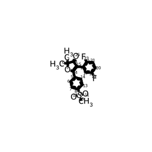 CC1(C)OC(c2ccc(S(C)(=O)=O)cc2)=C(c2cc(F)ccc2F)C1=O